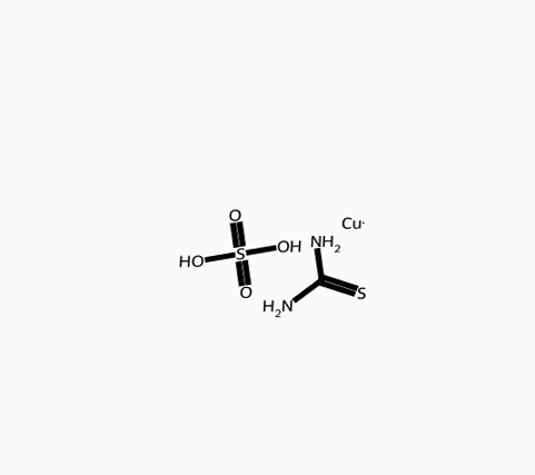 NC(N)=S.O=S(=O)(O)O.[Cu]